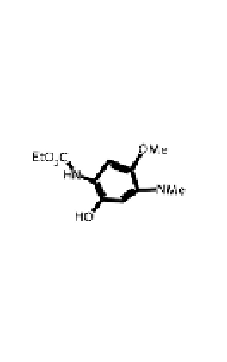 CCOC(=O)Nc1cc(OC)c(NC)cc1O